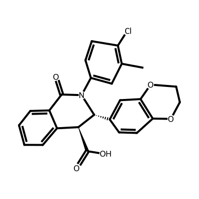 Cc1cc(N2C(=O)c3ccccc3[C@H](C(=O)O)[C@H]2c2ccc3c(c2)OCCO3)ccc1Cl